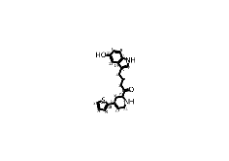 O=C(CCCc1c[nH]c2ccc(O)cc12)C1CC(c2cccs2)=CCN1